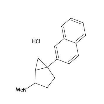 CNC1CCC2(c3ccc4ccccc4c3)CC12.Cl